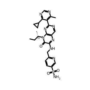 CC[C@H](C)n1c(=O)c(NCc2ccc(S(N)(=O)=O)cn2)nc2cnc(-c3c(C)ncnc3C3CC3)nc21